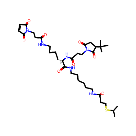 CC(C)SCCC(=O)NCCCCCCNC(=O)[C@H](CCCCNC(=O)CCN1C(=O)C=CC1=O)NC(=O)CCN1C(=O)CC(C(C)(C)C)C1=O